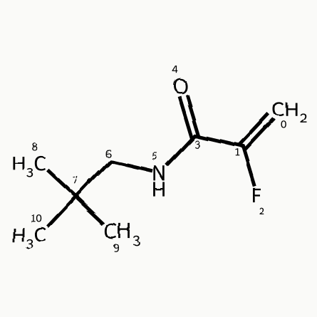 C=C(F)C(=O)NCC(C)(C)C